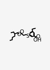 CCCCC(CC)COC(=O)CCSc1cc(CC)cc(C(=O)O)c1